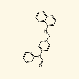 O=CN(c1ccccc1)c1ccc(/N=N/c2cccc3ccccc23)cc1